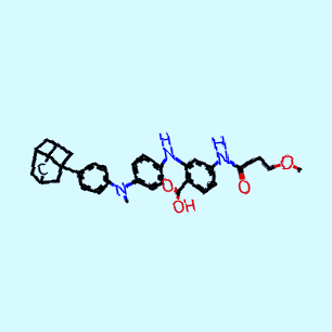 COCCC(=O)Nc1ccc(C(=O)O)c(Nc2ccc(N(C)c3ccc(C45CC6CC7CC(C4)C75C6)cc3)cc2)c1